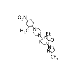 CCN1C(=O)N(n2ccc(C(F)(F)F)n2)CN=C1N1CCN(c2ccc([N+](=O)[O-])cc2C)CC1